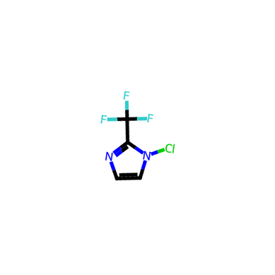 FC(F)(F)c1nccn1Cl